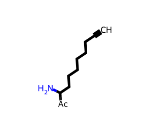 C#CCCCCCCC(N)C(C)=O